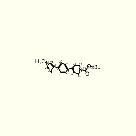 Cn1cnc(-c2ccc(C3=CCN(C(=O)OC(C)(C)C)CC3)cc2)c1